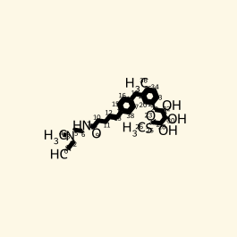 C#CCN(C)CCNC(=O)CC/C=C/c1ccc(Cc2cc([C@@H]3O[C@H](SC)[C@@H](O)[C@H](O)[C@H]3O)ccc2C)cc1